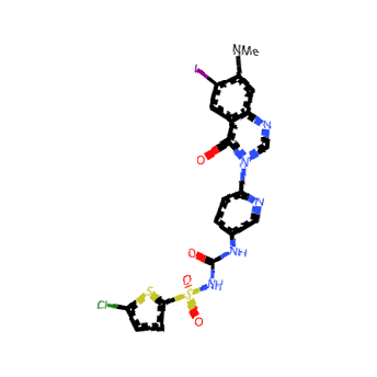 CNc1cc2ncn(-c3ccc(NC(=O)NS(=O)(=O)c4ccc(Cl)s4)cn3)c(=O)c2cc1I